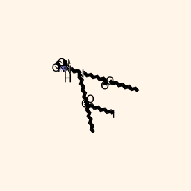 CCCCCCCCCOC(=O)CCCCCCCN(CCCCCCCC(=O)OC(CCCCCCCC)CCCCCCCI)CCCN/C(=N/S(C)(=O)=O)N(C)C